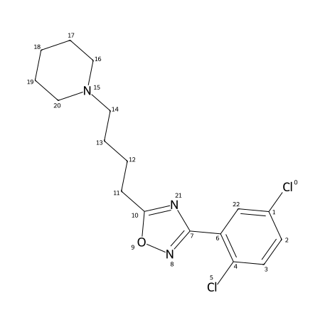 Clc1ccc(Cl)c(-c2noc(CCCCN3CCCCC3)n2)c1